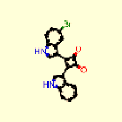 O=c1c(-c2c[nH]c3ccccc23)c(-c2c[nH]c3ccc(Br)cc23)c1=O